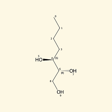 CCCC[C@H](O)[C@H](O)CO